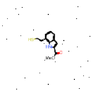 COC(=O)c1cc2cccc(CCS)c2[nH]1